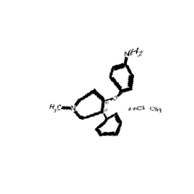 CN1CC[C@@H](Oc2ccc(N)cc2)[C@@H](c2ccccc2)C1.Cl.Cl